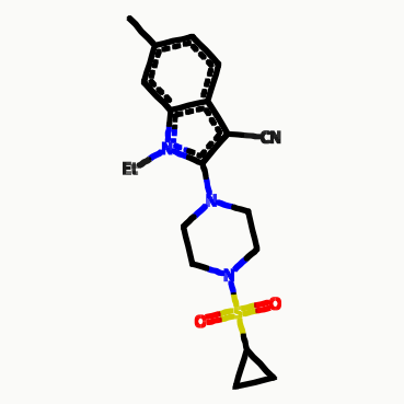 CCn1c(N2CCN(S(=O)(=O)C3CC3)CC2)c(C#N)c2ccc(C)cc21